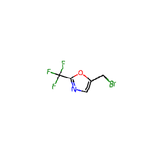 FC(F)(F)c1ncc(CBr)o1